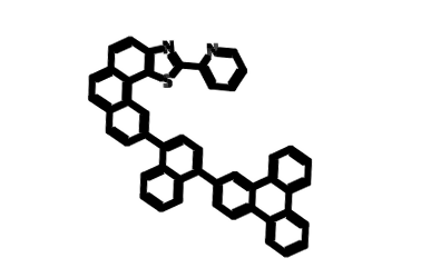 c1ccc(-c2nc3ccc4ccc5ccc(-c6ccc(-c7ccc8c9ccccc9c9ccccc9c8c7)c7ccccc67)cc5c4c3s2)nc1